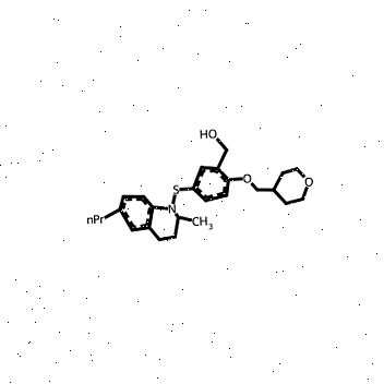 CCCc1ccc2c(c1)CCC(C)N2Sc1ccc(OCC2CCOCC2)c(CO)c1